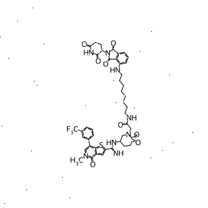 Cn1cc(-c2cccc(C(F)(F)F)c2)c2sc(C(=N)NC3CCS(=O)(=O)N(CC(=O)NCCCCCCCCNc4cccc5c4C(=O)N(C4CCC(=O)NC4=O)C5=O)C3)cc2c1=O